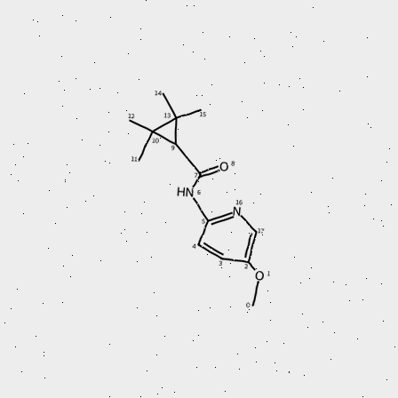 COc1ccc(NC(=O)C2C(C)(C)C2(C)C)nc1